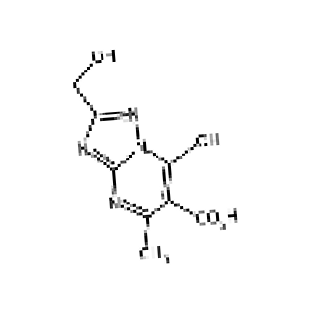 Cc1nc2nc(CO)nn2c(O)c1C(=O)O